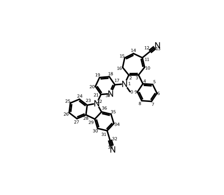 CN(C1=C(c2ccccc2)C=C(C#N)C=CC1)c1cccc(-n2c3ccccc3c3cc(C#N)ccc32)n1